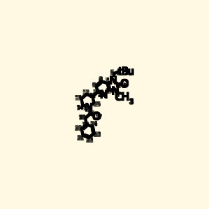 Cn1c(=O)n(CC(C)(C)C)c2ccc(C3CCCN(C(=O)Cc4ccccc4)C3)nc21